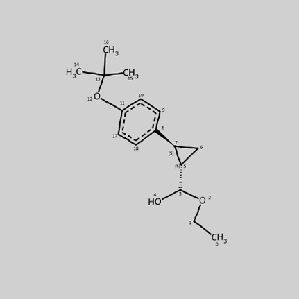 CCOC(O)[C@H]1C[C@@H]1c1ccc(OC(C)(C)C)cc1